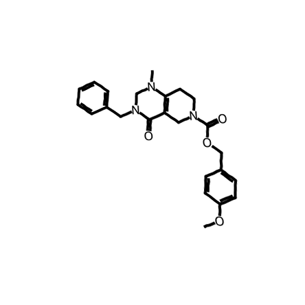 COc1ccc(COC(=O)N2CCC3=C(C2)C(=O)N(Cc2ccccc2)CN3C)cc1